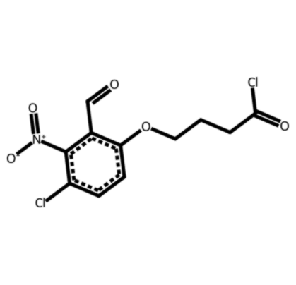 O=Cc1c(OCCCC(=O)Cl)ccc(Cl)c1[N+](=O)[O-]